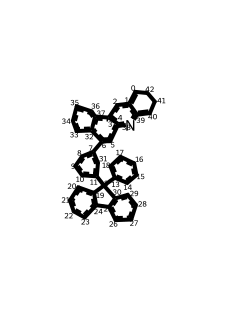 C1=c2cc3c(cc(-c4cccc(C5(c6ccccc6)c6ccccc6-c6ccccc65)c4)c4ccccc43)nc2=CCC1